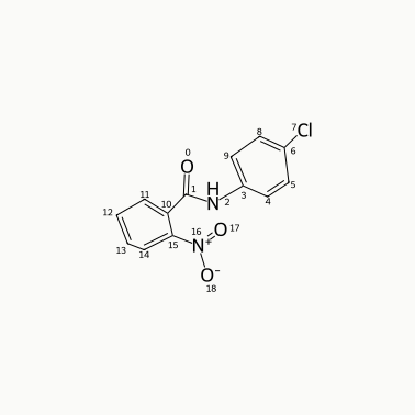 O=C(Nc1ccc(Cl)cc1)c1ccccc1[N+](=O)[O-]